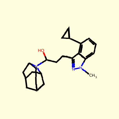 Cn1nc(CCC(O)N2C3CC4CC(C3)CC2C4)c2c(C3CC3)cccc21